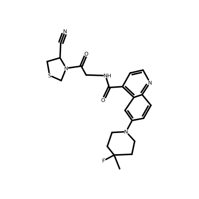 CC1(F)CCN(c2ccc3nccc(C(=O)NCC(=O)N4CSCC4C#N)c3c2)CC1